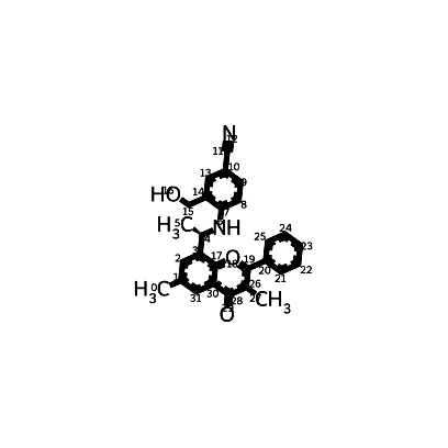 Cc1cc([C@@H](C)Nc2ccc(C#N)cc2CO)c2oc(-c3ccccc3)c(C)c(=O)c2c1